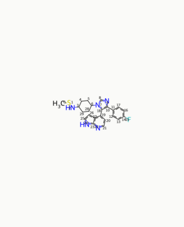 CSNC1CCC(n2cnc(-c3ccc(F)cc3)c2-c2ccnc3[nH]ccc23)CC1